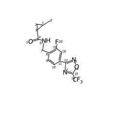 CC1CC1C(=O)NCc1ccc(-c2noc(C(F)(F)F)n2)cc1F